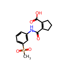 CS(=O)(=O)c1cccc(NC(=O)C2=C(C(=O)O)CCC2)c1